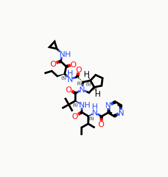 CCC[C@H](NC(=O)[C@@H]1[C@H]2CCC[C@H]2CN1C(=O)[C@@H](NC(=O)[C@@H](NC(=O)c1cnccn1)C(C)CC)C(C)(C)C)C(=O)C(=O)NC1CC1